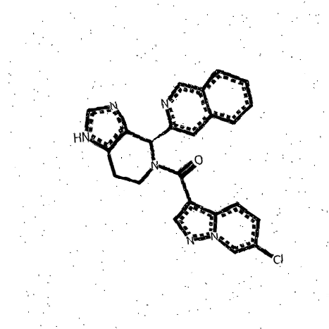 O=C(c1cnn2cc(Cl)ccc12)N1CCc2[nH]cnc2[C@H]1c1cc2ccccc2cn1